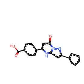 O=C(O)c1ccc(-c2cc(=O)n3nc(-c4ccccc4)cc3[nH]2)cc1